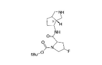 CC(C)(C)OC(=O)N1CC(F)CC1C(=O)NC1CCC2CNC[C@@H]21